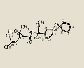 C#CC(C)(OC(=O)C1C(C=C(Cl)Cl)C1(C)C)c1cccc(Oc2ccccc2)c1